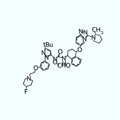 C[C@H]1CCCCN1c1nnc2ccc(O[C@@H]3CC[C@H](NC(=O)N(OC=O)c4cc(C(C)(C)C)nn4-c4cccc(OCCN5CCC(F)CC5)c4)c4ccccc43)cn12